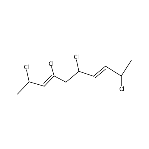 CC(Cl)C=CC(Cl)CC(Cl)=CC(C)Cl